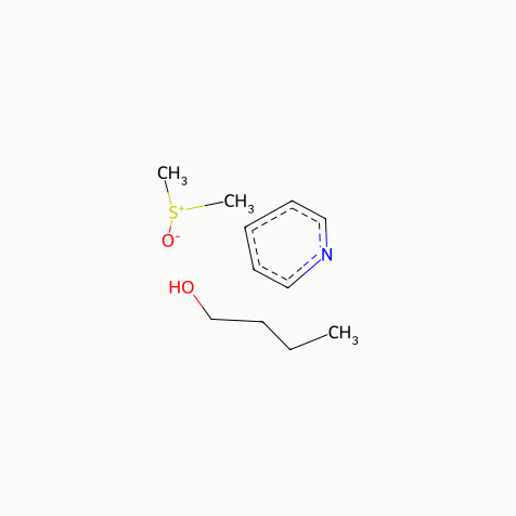 CCCCO.C[S+](C)[O-].c1ccncc1